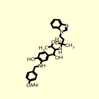 COc1ccc(CNc2cc(C(O)C(NC(C)(C)CCn3cnc4ccccc43)C(C)O)ccc2O)cc1